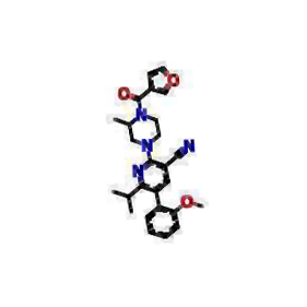 COc1ccccc1-c1cc(C#N)c(N2CCN(C(=O)c3ccoc3)C(C)C2)nc1C(C)C